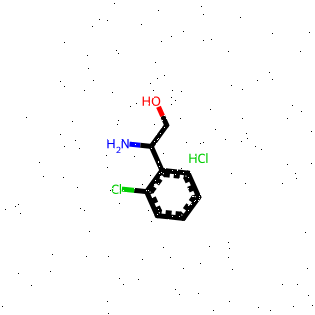 Cl.NC(CO)c1ccccc1Cl